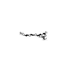 CCC(COCCOCCOCCO)OB(O)O